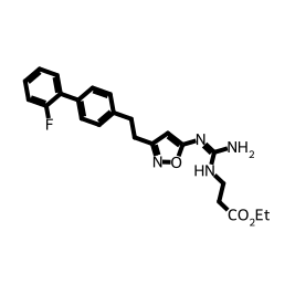 CCOC(=O)CCNC(N)=Nc1cc(CCc2ccc(-c3ccccc3F)cc2)no1